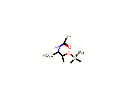 CC(C)C(=O)NC(C(=O)O)C(C)O[Si](C)(C)C(C)(C)C